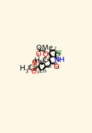 COC(=O)COc1ccc(F)c2[nH]c(=O)c(Cc3ccc(S(C)(=O)=O)cc3)c(C)c12